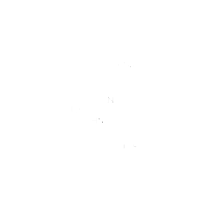 CCCCCCCCCCCCNC(NCCCCCCCCCCCC)C(C)O